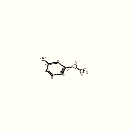 FC(F)(F)Oc1cccc([S])c1